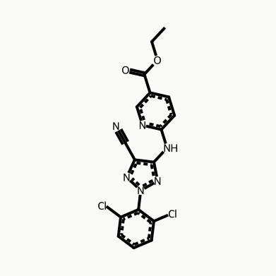 CCOC(=O)c1ccc(Nc2nn(-c3c(Cl)cccc3Cl)nc2C#N)nc1